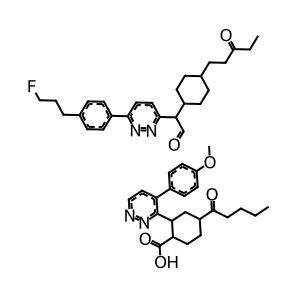 CCC(=O)CCC1CCC(C(C=O)c2ccc(-c3ccc(CCCF)cc3)nn2)CC1.CCCCC(=O)C1CCC(C(=O)O)C(c2nnccc2-c2ccc(OC)cc2)C1